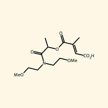 COCCN(CCOC)C(=O)C(C)OC(=O)C(C)=CC(=O)O